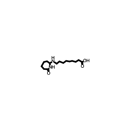 O=C(O)CCCCCCCCNC1CCCCC(=O)N1